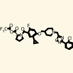 O=C(OC(=O)C(F)(F)F)[C@@H]1CCCN1C(=O)c1cc(C2CC2)c(OCC2CCN(Cc3nc(-c4ccccc4Cl)no3)CC2)cc1F